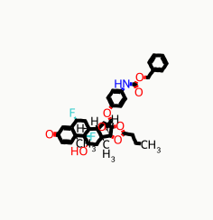 CCCC1O[C@@H]2C[C@H]3[C@@H]4C[C@H](F)C5=CC(=O)C=C[C@]5(C)[C@@]4(F)[C@@H](O)C[C@]3(C)[C@]2(C(=O)COc2ccc(NC(=O)OCc3ccccc3)cc2)O1